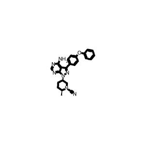 C[C@H]1CC[C@@H](n2nc(-c3ccc(Oc4ccccc4)cc3)c3c(N)ncnc32)CN1C#N